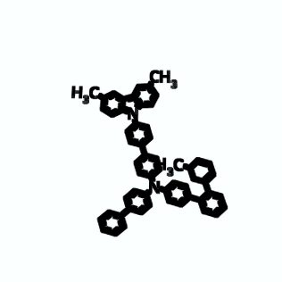 Cc1ccc2c(c1)c1cc(C)ccc1n2-c1ccc(-c2ccc(N(c3ccc(-c4ccccc4)cc3)c3ccc(-c4ccccc4C4=CC=CC(C)C4)cc3)cc2)cc1